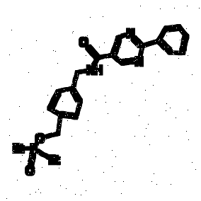 CCP(=O)(CC)OCc1ccc(CNC(=O)c2cnc(-c3ccccc3)nc2)cc1